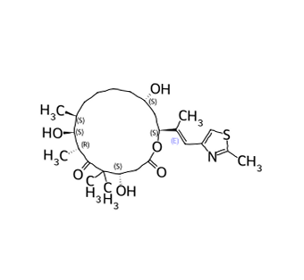 C/C(=C\c1csc(C)n1)[C@@H]1C[C@@H](O)CCCC[C@H](C)[C@H](O)[C@@H](C)C(=O)C(C)(C)[C@@H](O)CC(=O)O1